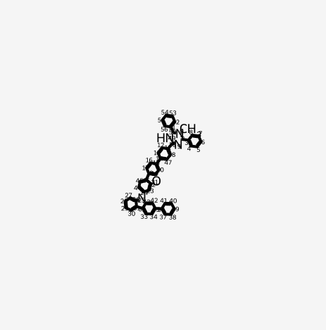 CN1C(c2ccccc2)N=C(c2ccc(-c3ccc4c(c3)oc3cc(-n5c6ccccc6c6ccc(-c7ccccc7)cc65)ccc34)cc2)NC1c1ccccc1